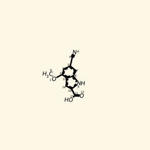 COc1cc(C#N)cc2[nH]c(C(=O)O)cc12